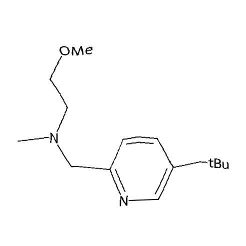 COCCN(C)Cc1ccc(C(C)(C)C)cn1